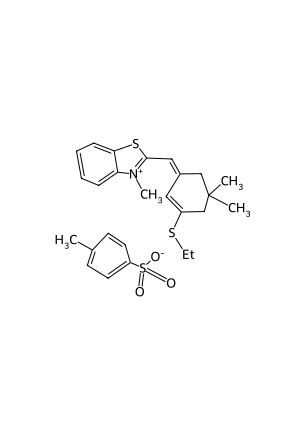 CCSC1=CC(=Cc2sc3ccccc3[n+]2C)CC(C)(C)C1.Cc1ccc(S(=O)(=O)[O-])cc1